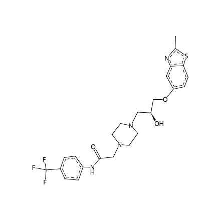 Cc1nc2cc(OC[C@@H](O)CN3CCN(CC(=O)Nc4ccc(C(F)(F)F)cc4)CC3)ccc2s1